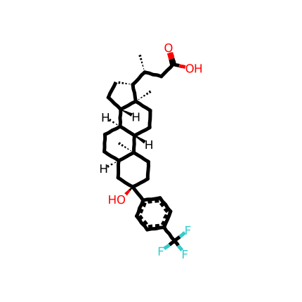 C[C@H](CC(=O)O)[C@H]1CC[C@H]2[C@@H]3CC[C@@H]4C[C@@](O)(c5ccc(C(F)(F)F)cc5)CC[C@]4(C)[C@H]3CC[C@]12C